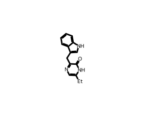 CCc1cnc(Cc2c[nH]c3ccccc23)c(=O)[nH]1